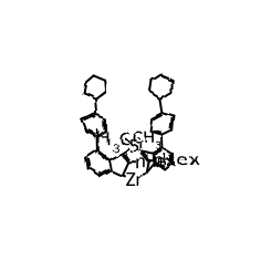 CCCCCCC1=C2c3c(-c4ccc(C5CCCCC5)cc4)cccc3[CH]1[Zr][CH]1C(CCCCCC)=C(c3c(-c4ccc(C5CCCCC5)cc4)cccc31)[Si]2(C)C